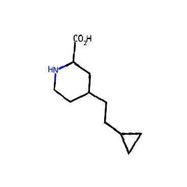 O=C(O)C1CC(CCC2CC2)CCN1